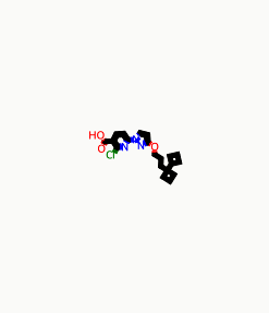 O=C(O)c1ccc(-n2ccc(OCCCC3(C4CCC4)CCC3)n2)nc1Cl